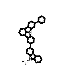 Cn1c2ccccc2c2cc(-c3ccc4c(c3)c3cccc5c6ccc(-c7ccccc7)cc6n4c35)ccc21